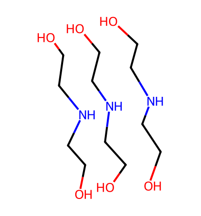 OCCNCCO.OCCNCCO.OCCNCCO